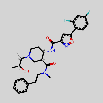 C[C@H](O)[C@H](C)N1CC[C@H](NC(=O)c2cc(-c3ccc(F)cc3F)on2)[C@@H](C(=O)N(C)CCc2ccccc2)C1